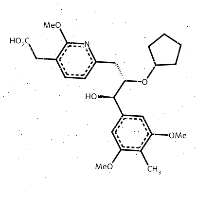 COc1cc([C@@H](O)[C@H](Cc2ccc(CC(=O)O)c(OC)n2)OC2CCCC2)cc(OC)c1C